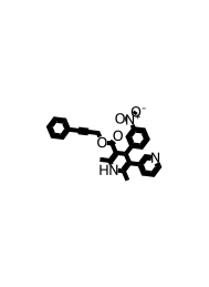 CC1=C(C(=O)OCC#Cc2ccccc2)C(c2cccc([N+](=O)[O-])c2)C(c2cccnc2)=C(C)N1